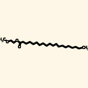 CCCCCCCCCCCCCCCCCCCC(=O)OCCOC